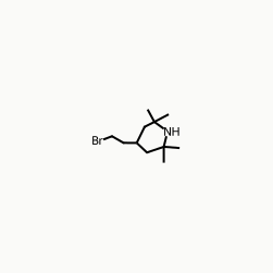 CC1(C)CC(CCBr)CC(C)(C)N1